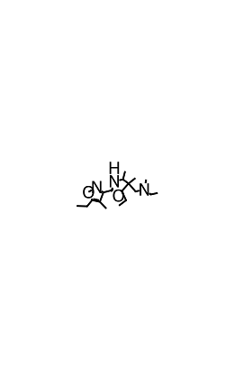 CCCC(C)(CN(C)CC)C(C)NC(=O)c1noc(CC)c1C